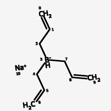 C=CC[BH-](CC=C)CC=C.[Na+]